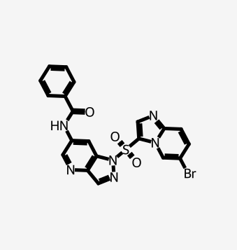 O=C(Nc1cnc2cnn(S(=O)(=O)c3cnc4ccc(Br)cn34)c2c1)c1ccccc1